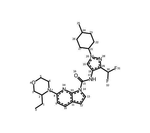 CCC1COCCN1c1ccc2ccn(C(=O)Nc3cn(C4CCC(C)CC4)nc3C(F)F)c2n1